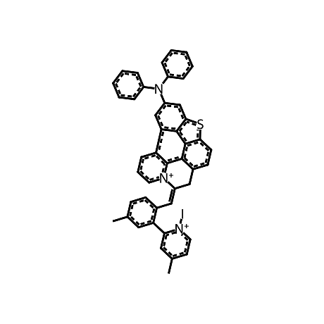 Cc1ccc(/C=C2/Cc3ccc4sc5cc(N(c6ccccc6)c6ccccc6)cc6c7ccc[n+]2c7c3c4c56)c(-c2cc(C)cc[n+]2I)c1